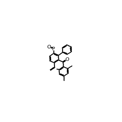 C=Cc1ccc(P=O)c(-c2ccccc2)c1C(=O)c1c(C)cc(C)cc1C